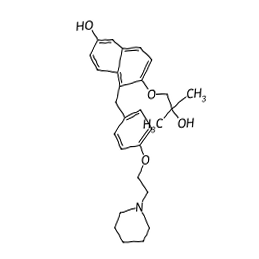 CC(C)(O)COc1ccc2cc(O)ccc2c1Cc1ccc(OCCN2CCCCC2)cc1